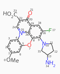 COc1ccc2c(c1)Oc1c(N3CCC(N)C3)c(F)cc3c(=O)c(C(=O)O)cn-2c13